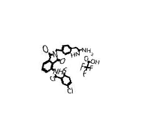 N=C(N)Cc1ccc(CN2C(=O)c3cccc(NC(=O)C4=CC(Cl)=CCC4=S)c3C2=O)cc1.O=C(O)C(F)(F)F